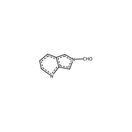 O=Cn1cc2cccnc2c1